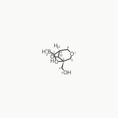 B[C@@H]1O[C@@]2(CO)COC[C@H]1C2O